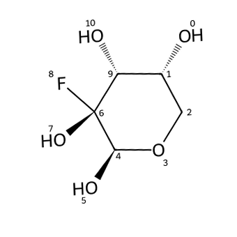 O[C@@H]1CO[C@@H](O)[C@](O)(F)[C@@H]1O